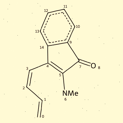 C=C/C=C\C1=C(NC)C(=O)c2ccccc21